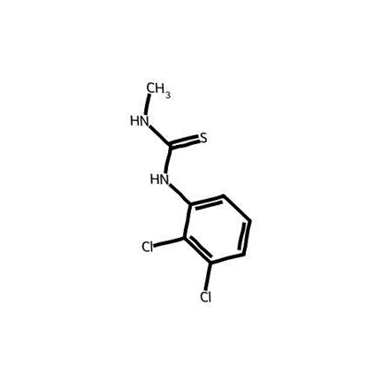 CNC(=S)Nc1cccc(Cl)c1Cl